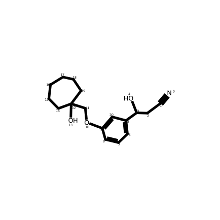 N#CCC(O)c1cccc(OCC2(O)CCCCCC2)c1